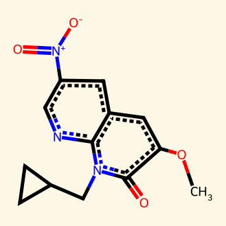 COc1cc2cc([N+](=O)[O-])cnc2n(CC2CC2)c1=O